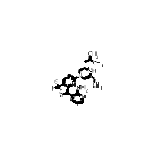 CC[C@H]1CN(c2ccc(C(F)(F)F)c(C(=O)c3cccnc3N)n2)C[C@H](CC(C)C)N1